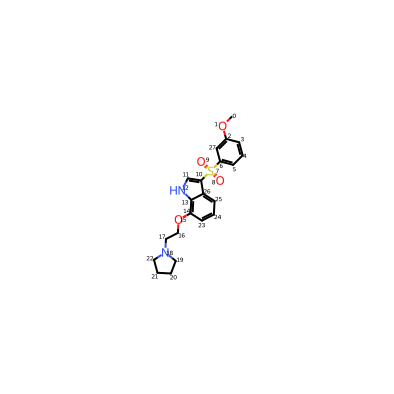 COc1cccc(S(=O)(=O)c2c[nH]c3c(OCCN4CCCC4)cccc23)c1